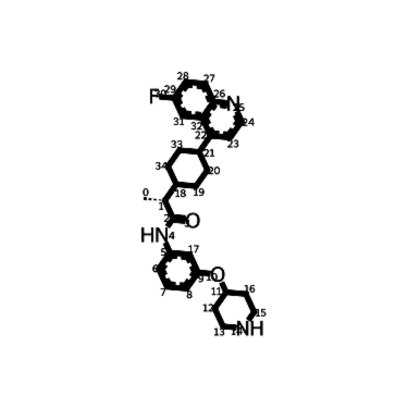 C[C@@H](C(=O)Nc1cccc(OC2CCNCC2)c1)C1CCC(c2ccnc3ccc(F)cc23)CC1